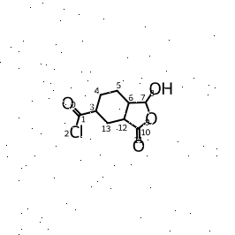 O=C(Cl)C1CCC2C(O)OC(=O)C2C1